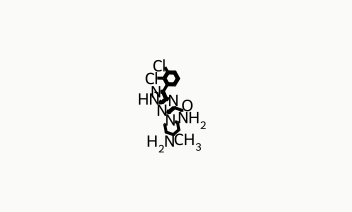 CC1(N)CCN(c2nc3[nH]nc(-c4cccc(Cl)c4Cl)c3nc2C(N)=O)CC1